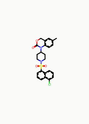 Cc1ccc2c(c1)COC(=O)N2C1CCN(S(=O)(=O)c2cccc3c(Cl)cccc23)CC1